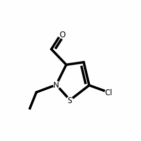 CCN1SC(Cl)=CC1C=O